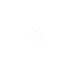 CCCN(C(C)CC(C)C)C1CCC(C)CC1